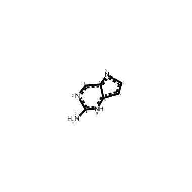 Nc1ncc2nccc-2[nH]1